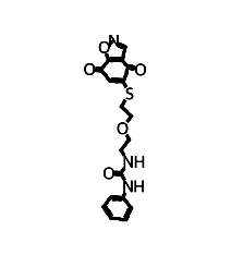 O=C(NCCOCCSC1=CC(=O)c2oncc2C1=O)Nc1ccccc1